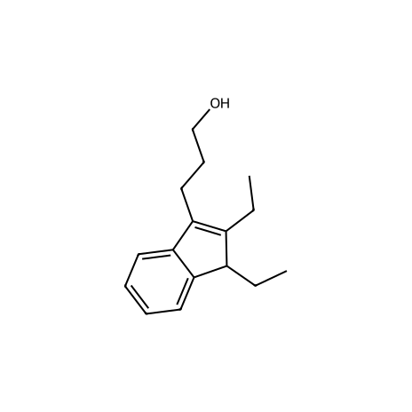 CCC1=C(CCCO)c2ccccc2C1CC